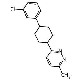 Cc1ccc(C2CCC(c3cccc(Cl)c3)CC2)nn1